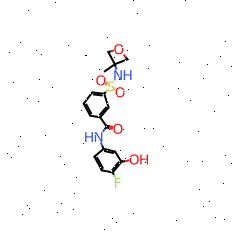 CC1(NS(=O)(=O)c2cccc(C(=O)Nc3ccc(F)c(O)c3)c2)COC1